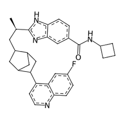 C[C@H](CC1CC2CC1CC2c1ccnc2ccc(F)cc12)c1nc2cc(C(=O)NC3CCC3)ccc2[nH]1